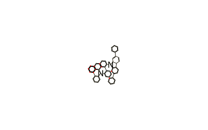 C1=CC2c3ccc(-c4ccccc4)cc3N(c3ccccc3-c3ccccc3N(c3ccccc3-c3ccccc3)c3cccc4ccccc34)C2C=C1c1ccccc1